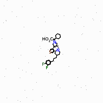 O=C(O)[C@@H](C1CCCCC1)N1C[C@H](CN2CCC(CCCc3ccc(F)c(F)c3)CC2)[C@@H](c2ccsc2)C1